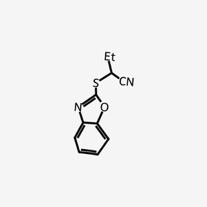 CCC(C#N)Sc1nc2ccccc2o1